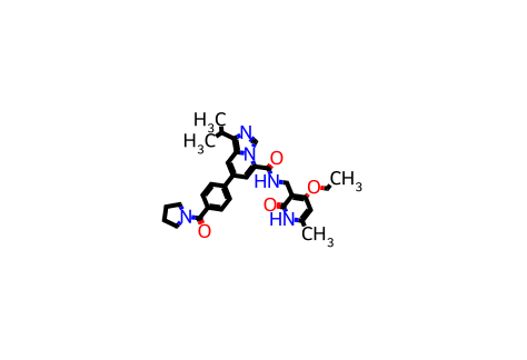 CCOc1cc(C)[nH]c(=O)c1CNC(=O)c1cc(-c2ccc(C(=O)N3CCCC3)cc2)cc2c(C(C)C)ncn12